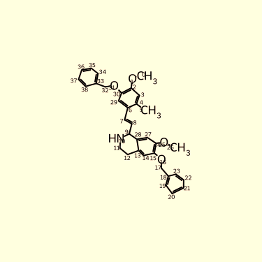 COc1cc(C)c(C=CC2NCCc3cc(OCc4ccccc4)c(OC)cc32)cc1OCc1ccccc1